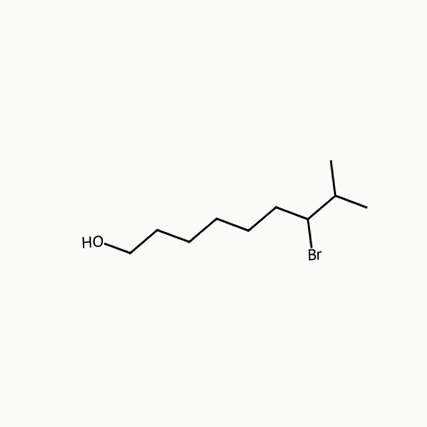 CC(C)C(Br)CCCCCCO